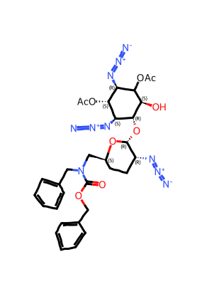 CC(=O)OC1[C@@H](O)[C@H](O[C@H]2O[C@H](CN(Cc3ccccc3)C(=O)OCc3ccccc3)CC[C@H]2N=[N+]=[N-])[C@@H](N=[N+]=[N-])[C@H](OC(C)=O)[C@H]1N=[N+]=[N-]